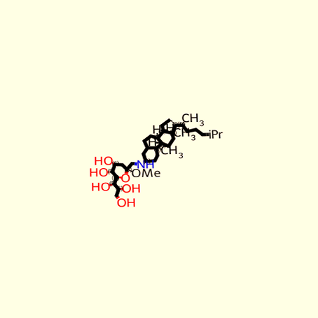 CO[C@@]1(CN[C@@H]2CC[C@@]3(C)C(CC[C@H]4[C@@H]5CC[C@H]([C@H](C)CCCC(C)C)[C@@]5(C)CC[C@@H]43)C2)C[C@H](O)[C@@H](O)[C@H]([C@H](O)[C@@H](O)CO)O1